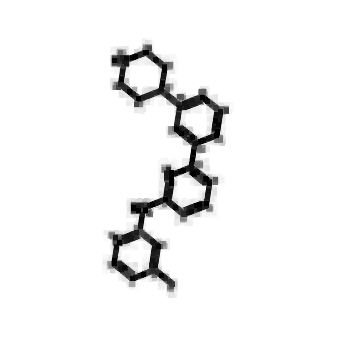 Cc1ccnc(Nc2cccc(-c3cccc(C4CCNCC4)c3)n2)c1